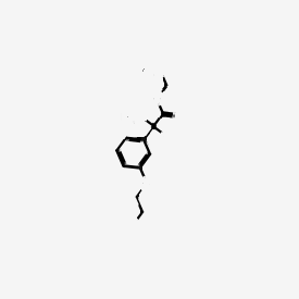 CCCOc1cccc(C(C)(C)C(=O)OCC)c1